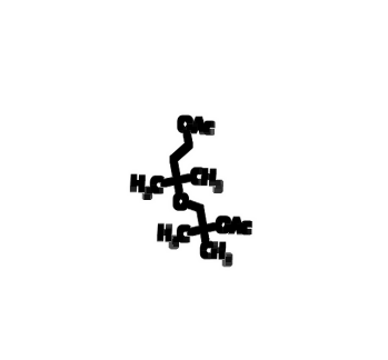 CC(=O)OCCC(C)(C)OCC(C)(C)OC(C)=O